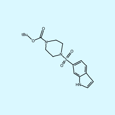 CC(C)(C)OC(=O)N1CCN(S(=O)(=O)c2ccc3cc[nH]c3c2)CC1